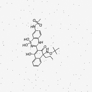 CCCC1(NOC(C)(C)C)C(=O)C(C2=NS(O)(O)c3cc(NS(C)(=O)=O)ccc3N2)=C(O)c2ccccc21